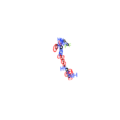 O=C1CCC(N2C(=O)c3ccc(NCCOCCOCCOCCC(=O)N4CCN(c5ccc(C(=O)Nc6n[nH]c7ccc(Cc8cc(F)cc(F)c8)cc67)c(NC6CCOCC6)c5)CC4)cc3C2=O)C(=O)N1